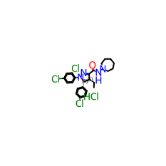 CC[C@@H]1C(C(=O)NN2CCCCCC2)=NN(c2ccc(Cl)cc2Cl)[C@H]1c1ccc(Cl)cc1.Cl